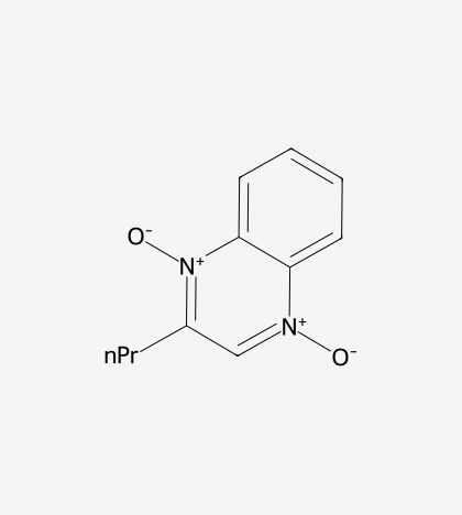 CCCc1c[n+]([O-])c2ccccc2[n+]1[O-]